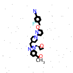 CC(=O)c1ccc2nc(CC3CCN(c4cccc(OCc5ccc(C#N)cc5F)n4)CC3)n(C[C@@H]3CCO3)c2c1